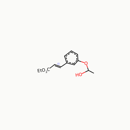 CCOC(=O)/C=C/c1cccc(OC(C)O)c1